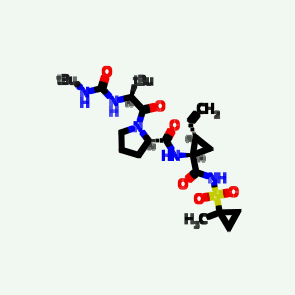 C=C[C@@H]1C[C@]1(NC(=O)[C@@H]1CCCN1C(=O)[C@@H](NC(=O)NC(C)(C)C)C(C)(C)C)C(=O)NS(=O)(=O)C1(C)CC1